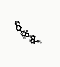 COc1ccc(C2OC[C@@H]3C[C@@H](n4ccc5c(N)ncnc54)C[C@@H]3O2)cc1